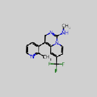 CNC1=NCC(c2cccnc2C)=C2C=C(C(F)(F)F)C=CN12